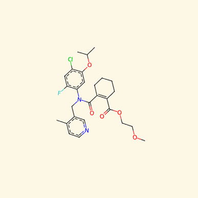 COCCOC(=O)C1=C(C(=O)N(Cc2cnccc2C)c2cc(OC(C)C)c(Cl)cc2F)CCCC1